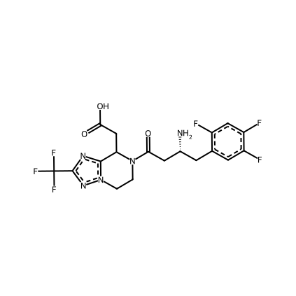 N[C@@H](CC(=O)N1CCn2nc(C(F)(F)F)nc2C1CC(=O)O)Cc1cc(F)c(F)cc1F